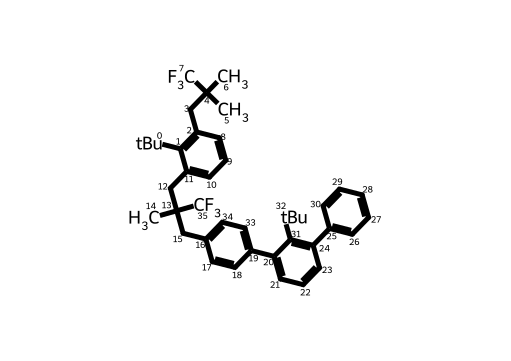 CC(C)(C)c1c(CC(C)(C)C(F)(F)F)cccc1CC(C)(Cc1ccc(-c2cccc(-c3ccccc3)c2C(C)(C)C)cc1)C(F)(F)F